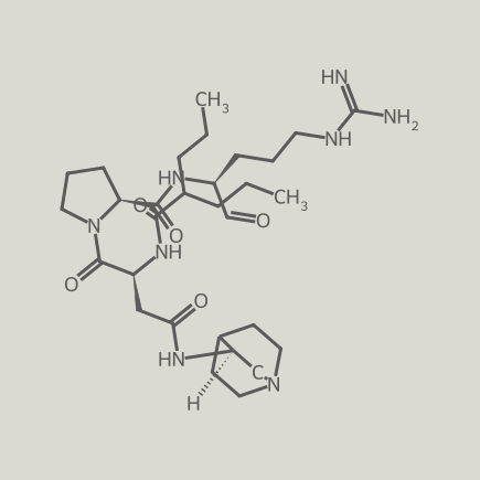 CCCC(CCC)C(=O)N[C@@H](CC(=O)N[C@@H]1CN2CCC1CC2)C(=O)N1CCC[C@H]1C(=O)N[C@H](C=O)CCCNC(=N)N